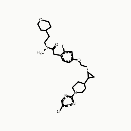 CN(CCC1CCOCC1)C(=O)Cc1ccc(OCC[C@@H]2CC2C2CCN(c3ncc(Cl)cn3)CC2)cc1F